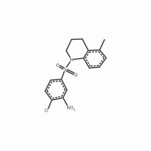 Cc1cccc2c1CCCN2S(=O)(=O)c1ccc(Cl)c([N+](=O)[O-])c1